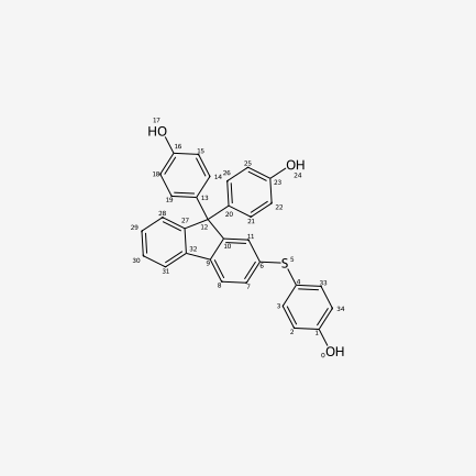 Oc1ccc(Sc2ccc3c(c2)C(c2ccc(O)cc2)(c2ccc(O)cc2)c2ccccc2-3)cc1